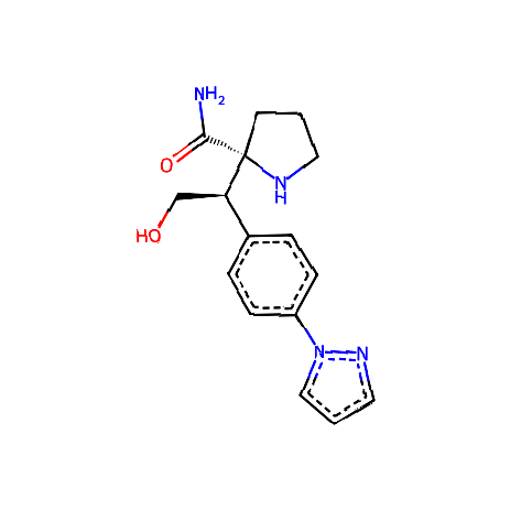 NC(=O)[C@]1([C@H](CO)c2ccc(-n3cccn3)cc2)CCCN1